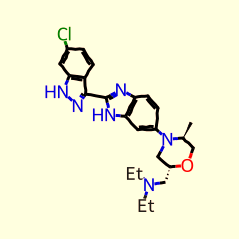 CCN(CC)C[C@@H]1CN(c2ccc3nc(-c4n[nH]c5cc(Cl)ccc45)[nH]c3c2)[C@@H](C)CO1